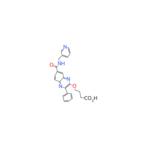 O=C(O)CCCOc1nc2cc(C(=O)NCc3cccnc3)ccc2nc1-c1ccccc1